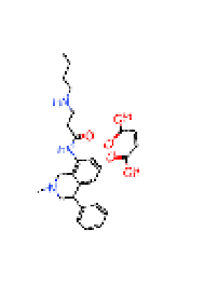 CCCCNCCC(=O)Nc1cccc2c1CN(C)CC2c1ccccc1.O=C(O)/C=C\C(=O)O